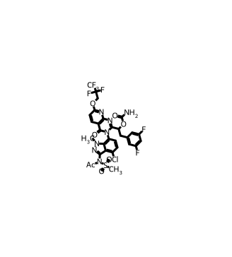 CC(=O)N(c1nn(C)c2c(-n3c(C(Cc4cc(F)cc(F)c4)OC(N)=O)nc4nc(OCC(F)(F)C(F)(F)F)ccc4c3=O)ccc(Cl)c12)S(C)(=O)=O